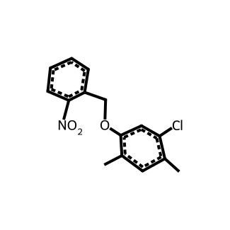 Cc1cc(C)c(OCc2ccccc2[N+](=O)[O-])cc1Cl